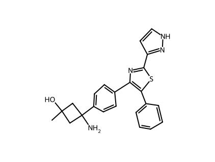 CC1(O)CC(N)(c2ccc(-c3nc(-c4cc[nH]n4)sc3-c3ccccc3)cc2)C1